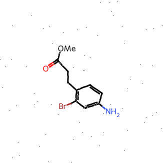 COC(=O)CCc1ccc(N)cc1Br